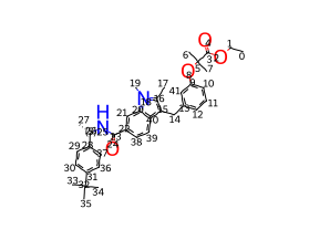 CCOC(=O)C(C)(C)Oc1cccc(Cc2c(C)n(C)c3cc(C(=O)N[C@@H](C)c4ccc(C(C)(C)C)cc4)ccc23)c1